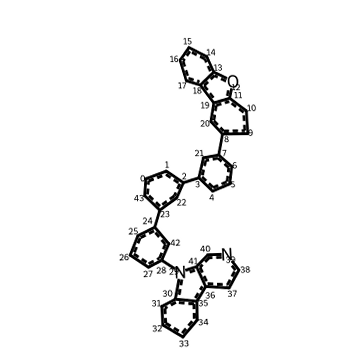 c1cc(-c2cccc(-c3ccc4oc5ccccc5c4c3)c2)cc(-c2cccc(-n3c4ccccc4c4ccncc43)c2)c1